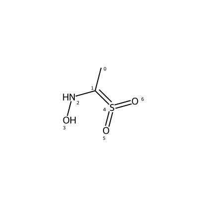 CC(NO)=S(=O)=O